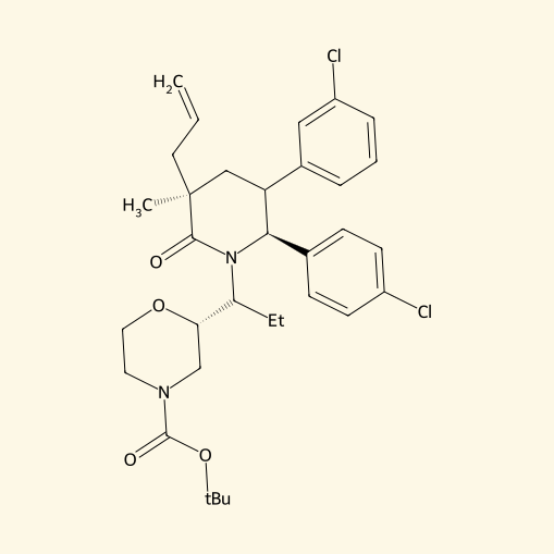 C=CC[C@@]1(C)CC(c2cccc(Cl)c2)[C@@H](c2ccc(Cl)cc2)N(C(CC)[C@@H]2CN(C(=O)OC(C)(C)C)CCO2)C1=O